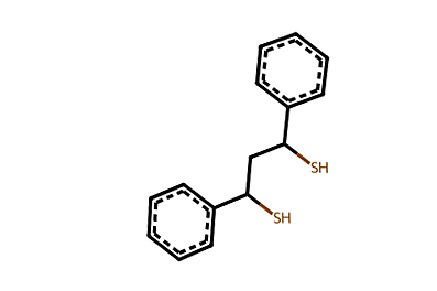 SC(CC(S)c1ccccc1)c1ccccc1